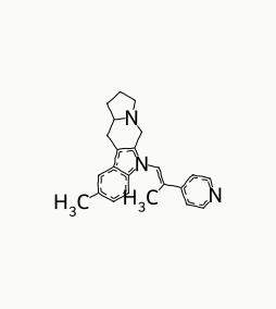 C/C(=C\n1c2c(c3cc(C)ccc31)CC1CCCN1C2)c1ccncc1